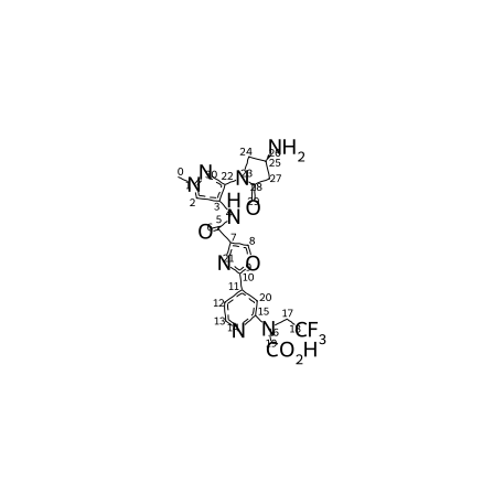 Cn1cc(NC(=O)c2coc(-c3ccnc(N(CC(F)(F)F)C(=O)O)c3)n2)c(N2C[C@@H](N)CC2=O)n1